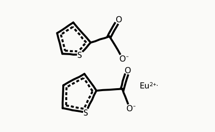 O=C([O-])c1cccs1.O=C([O-])c1cccs1.[Eu+2]